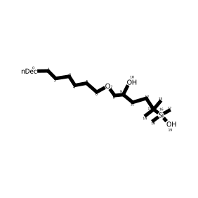 CCCCCCCCCCCCCCCCOCC(O)CCC(C)(C)[Si](C)(C)O